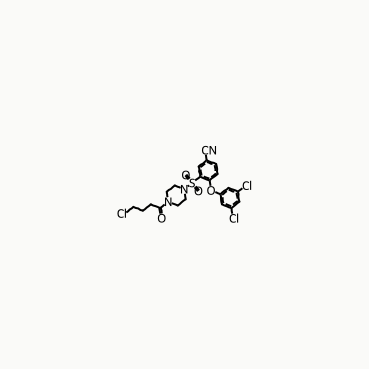 N#Cc1ccc(Oc2cc(Cl)cc(Cl)c2)c(S(=O)(=O)N2CCN(C(=O)CCCCl)CC2)c1